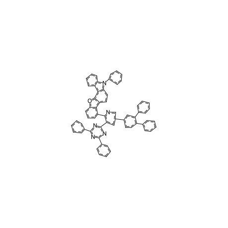 c1ccc(-c2nc(-c3ccccc3)nc(-c3cc(-c4ccc(-c5ccccc5)c(-c5ccccc5)c4)cnc3-c3cccc4oc5c(ccc6c5c5ccccc5n6-c5ccccc5)c34)n2)cc1